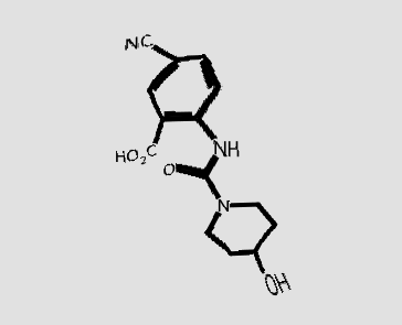 N#Cc1ccc(NC(=O)N2CCC(O)CC2)c(C(=O)O)c1